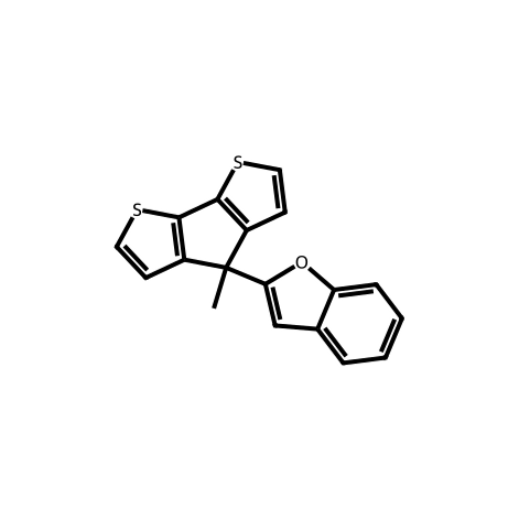 CC1(c2cc3ccccc3o2)c2ccsc2-c2sccc21